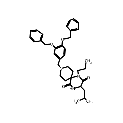 CCCN1C(=O)C(CC(C)C)NC(=O)C12CCN(Cc1ccc(OCc3ccccc3)c(OCc3ccccc3)c1)CC2